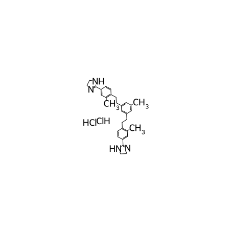 Cc1cc(CCc2ccc(C3=NCCN3)cc2C)cc(CCc2ccc(C3=NCCN3)cc2C)c1.Cl.Cl